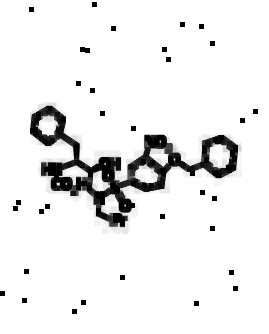 CC(C)CN(C[C@H](O)[C@H](Cc1ccccc1)NC(=O)O)S(=O)(=O)c1ccc(OCc2ccccc2)c([N+](=O)[O-])c1